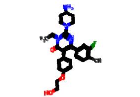 N#Cc1ccc(-c2nc(N3CCC(N)CC3)n(CC(F)(F)F)c(=O)c2-c2ccc(OCCO)cc2)cc1F